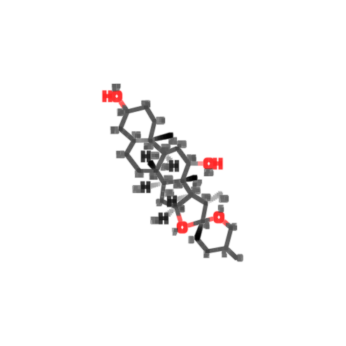 CC1CC[C@@]2(OC1)O[C@H]1C[C@H]3[C@@H]4CCC5CC(O)CC[C@]5(C)[C@H]4CC(O)[C@]3(C)[C@H]1[C@@H]2C